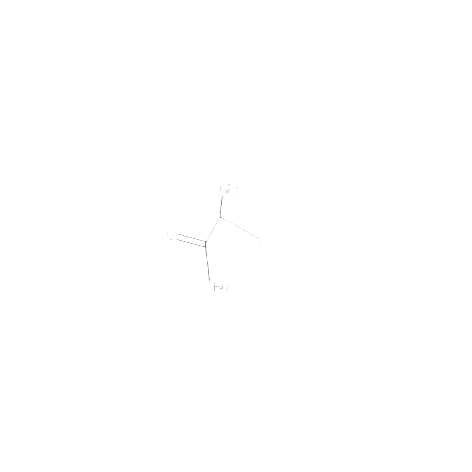 CCCC(I)C(=O)C(C)(C)C